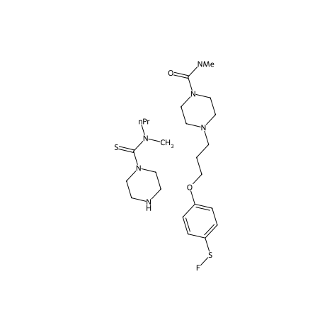 CCCN(C)C(=S)N1CCNCC1.CNC(=O)N1CCN(CCCOc2ccc(SF)cc2)CC1